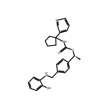 C[C@H](OC(=O)NC1(c2cccnc2)CCCC1)c1ccc(CNc2ccccc2O)cc1